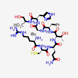 CC[C@H](C)[C@H](NC(=O)[C@H](CC(C)C)NC(=O)[C@@H](NC(=O)[C@H](CCC(N)=O)NC(=O)[C@H](CS)NC(=O)[C@@H](N)CCCNC(=N)N)[C@@H](C)O)C(=O)N[C@@H](Cc1c[nH]cn1)C(=O)N[C@@H](CO)C(=O)O